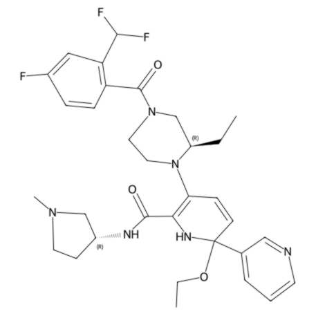 CCOC1(c2cccnc2)C=CC(N2CCN(C(=O)c3ccc(F)cc3C(F)F)C[C@H]2CC)=C(C(=O)N[C@@H]2CCN(C)C2)N1